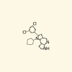 Clc1cc(Cl)cc(-c2cc3cnc4[nH]ccc4c3n2C2CCCCC2)c1